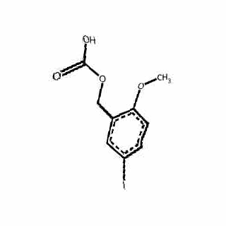 COc1ccc(I)cc1COC(=O)O